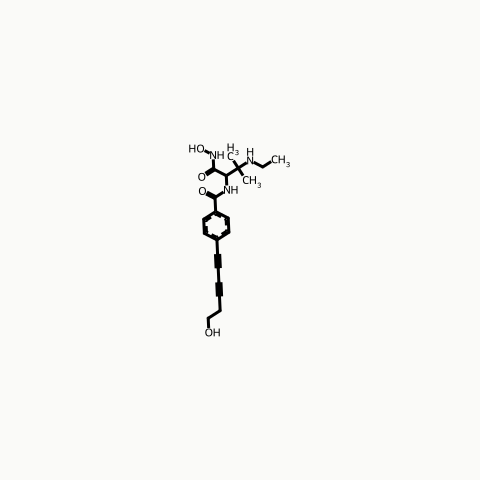 CCNC(C)(C)C(NC(=O)c1ccc(C#CC#CCCO)cc1)C(=O)NO